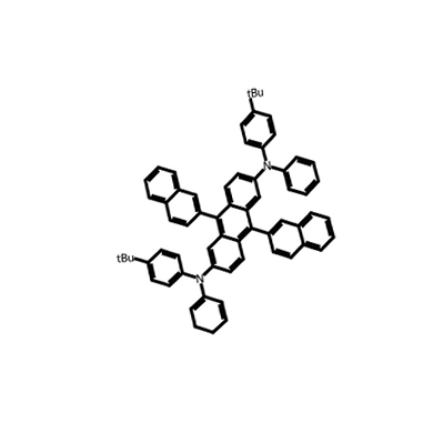 CC(C)(C)c1ccc(N(C2=CCCC=C2)c2ccc3c(-c4ccc5ccccc5c4)c4cc(N(c5ccccc5)c5ccc(C(C)(C)C)cc5)ccc4c(-c4ccc5ccccc5c4)c3c2)cc1